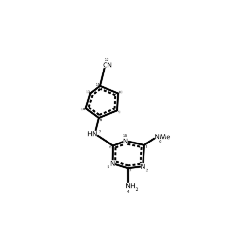 CNc1nc(N)nc(Nc2ccc(C#N)cc2)n1